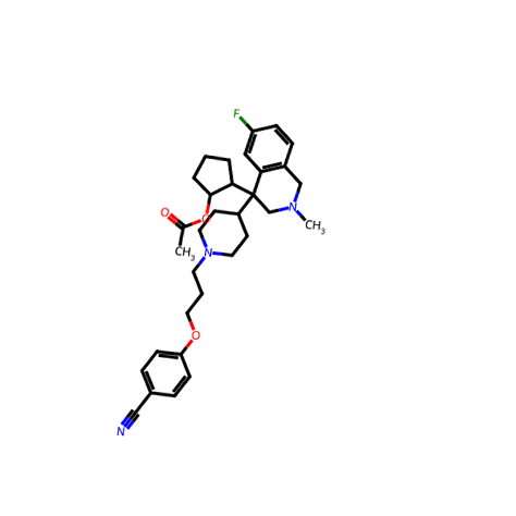 CC(=O)OC1CCCC1C1(C2CCN(CCCOc3ccc(C#N)cc3)CC2)CN(C)Cc2ccc(F)cc21